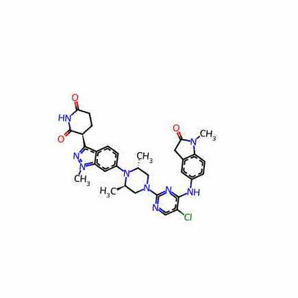 C[C@@H]1CN(c2ncc(Cl)c(Nc3ccc4c(c3)CC(=O)N4C)n2)C[C@@H](C)N1c1ccc2c([C@@H]3CCC(=O)NC3=O)nn(C)c2c1